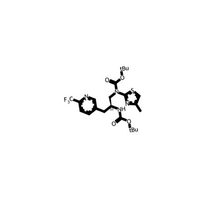 Cc1csc(N(C[C@H](Cc2ccc(C(F)(F)F)nc2)NC(=O)OC(C)(C)C)C(=O)OC(C)(C)C)n1